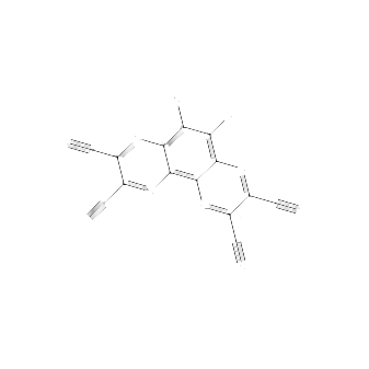 N#Cc1nc2c(N)c(N)c3nc(C#N)c(C#N)nc3c2nc1C#N